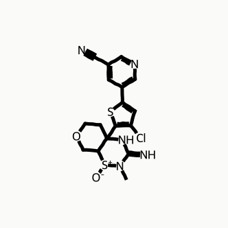 CN1C(=N)NC2(c3sc(-c4cncc(C#N)c4)cc3Cl)CCOCC2[S+]1[O-]